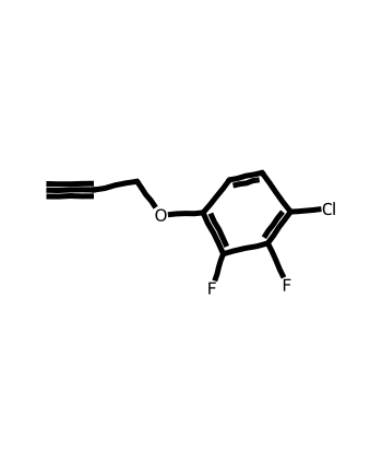 C#CCOc1ccc(Cl)c(F)c1F